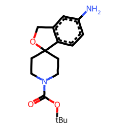 CC(C)(C)OC(=O)N1CCC2(CC1)OCc1cc(N)ccc12